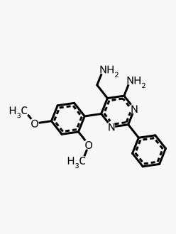 COc1ccc(-c2nc(-c3ccccc3)nc(N)c2CN)c(OC)c1